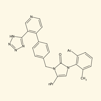 CCCc1cn(-c2c(C)cccc2C(C)=O)c(=O)n1Cc1ccc(-c2ccncc2-c2nnn[nH]2)cc1